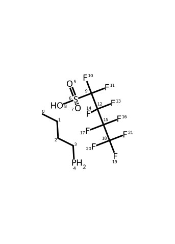 CCCCP.O=S(=O)(O)C(F)(F)C(F)(F)C(F)(F)C(F)(F)F